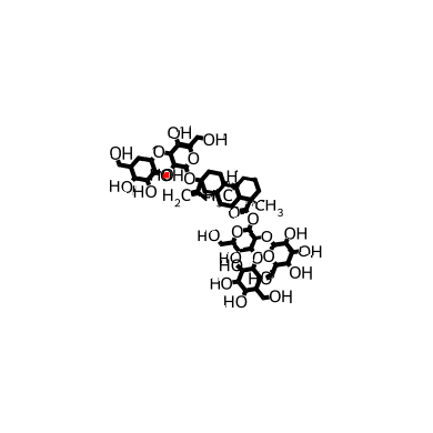 C=C1C[C@@]23CCC4[C@](C)(C(=O)OC5OC(CO)C(O)C(OC6CC(CO)C(O)C(O)C6O)C5OC5OC(CO)C(O)C(O)C5O)CCC[C@@]4(C)[C@@H]2CCC1(OC1OC(CO)C(O)C(OC2CC(CO)C(O)C(O)C2O)C1O)C3